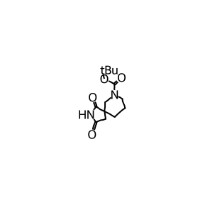 CC(C)(C)OC(=O)N1CCCC2(CC(=O)NC2=O)C1